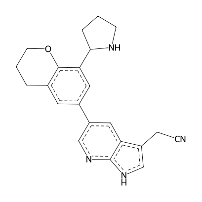 N#CCc1c[nH]c2ncc(-c3cc4c(c(C5CCCN5)c3)OCCC4)cc12